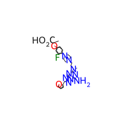 CC(Oc1ccc(N2CCN(CCN(C)c3nc(N)n4nc(-c5ccco5)nc4n3)CC2)c(F)c1)C(=O)O